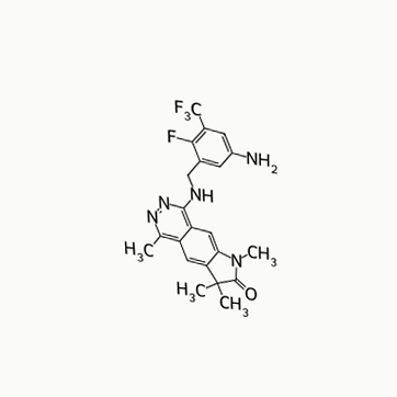 Cc1nnc(NCc2cc(N)cc(C(F)(F)F)c2F)c2cc3c(cc12)C(C)(C)C(=O)N3C